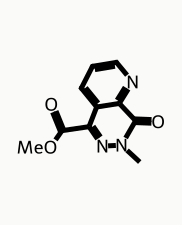 COC(=O)c1nn(C)c(=O)c2ncccc12